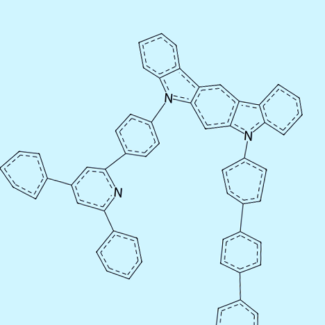 c1ccc(-c2ccc(-c3ccc(-n4c5ccccc5c5cc6c7ccccc7n(-c7ccc(-c8cc(-c9ccccc9)cc(-c9ccccc9)n8)cc7)c6cc54)cc3)cc2)cc1